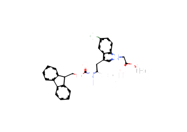 CC(C)(C)OC(=O)Cn1cc(C[C@H](NC(=O)OCC2c3ccccc3-c3ccccc32)C(=O)O)c2cc(Cl)ccc21